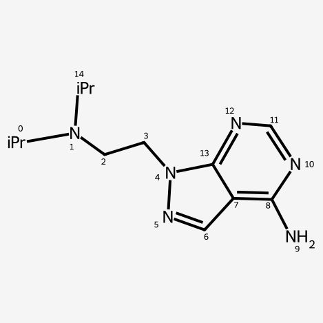 CC(C)N(CCn1ncc2c(N)ncnc21)C(C)C